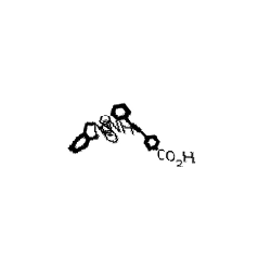 O=C(O)c1ccc(C#Cc2ccccc2NS(=O)(=O)N2CCc3ccccc3C2)cc1